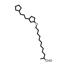 CC([C]=O)CCCCCCCCCCOC1CCC(CCCC2C[CH]CC2)C1